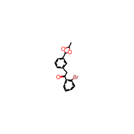 CC1OC(c2cccc(CC(=O)c3ccccc3Br)c2)O1